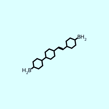 BC1CCC(/C=C/C2CCC(C3CCC(B)CC3)CC2)CC1